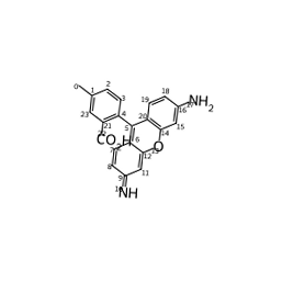 Cc1ccc(-c2c3ccc(=N)cc-3oc3cc(N)ccc23)c(C(=O)O)c1